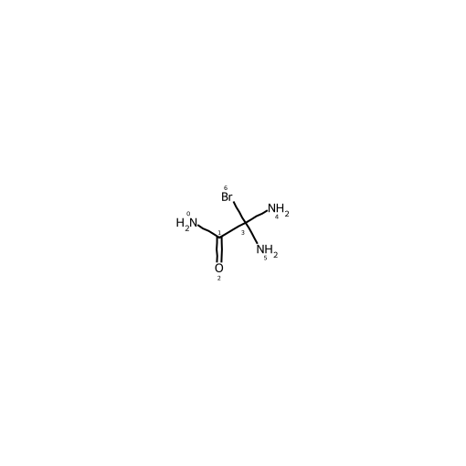 NC(=O)C(N)(N)Br